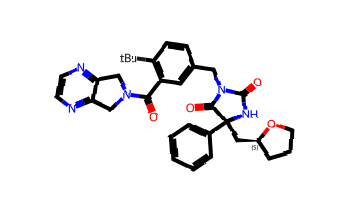 CC(C)(C)c1ccc(CN2C(=O)NC(C[C@@H]3CCCO3)(c3ccccc3)C2=O)cc1C(=O)N1Cc2nccnc2C1